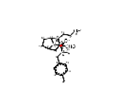 Cc1ccc(CN(C)C(=O)N2C3CCC2[C@@H](CCO)N(C=O)C3)cc1